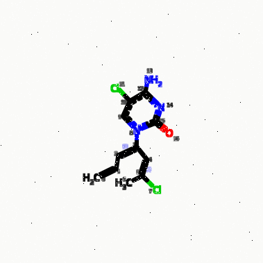 C=C/C=C(\C=C(/C)Cl)n1cc(Cl)c(N)nc1=O